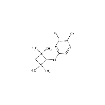 CC1(C)CC(C)(C)C1Oc1ccc(C#N)c(Cl)c1